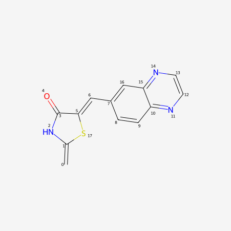 C=c1[nH]c(=O)/c(=C/c2ccc3nccnc3c2)s1